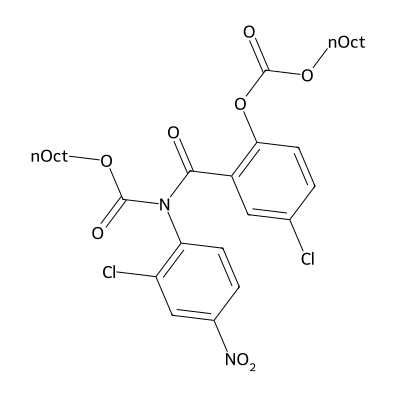 CCCCCCCCOC(=O)Oc1ccc(Cl)cc1C(=O)N(C(=O)OCCCCCCCC)c1ccc([N+](=O)[O-])cc1Cl